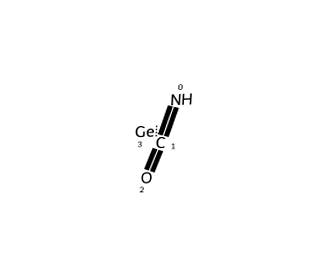 N=C=O.[Ge]